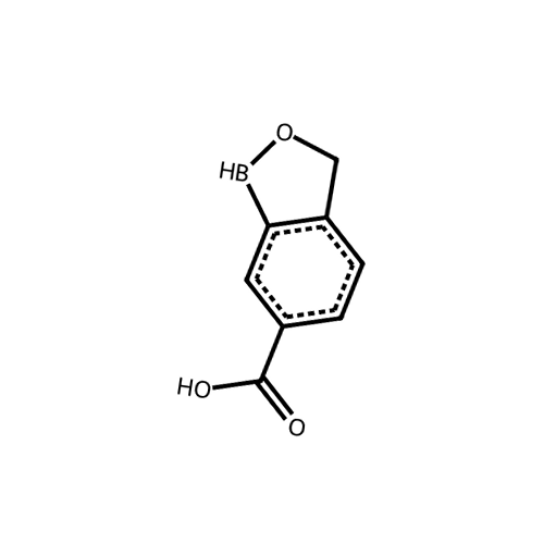 O=C(O)c1ccc2c(c1)BOC2